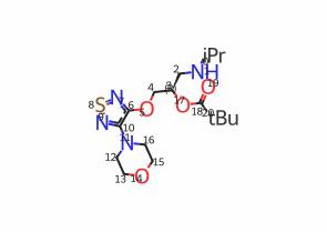 CC(C)NC[C@H](COc1nsnc1N1CCOCC1)OC(=O)C(C)(C)C